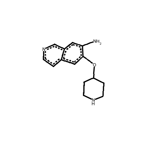 Nc1cc2cnccc2cc1OC1CCNCC1